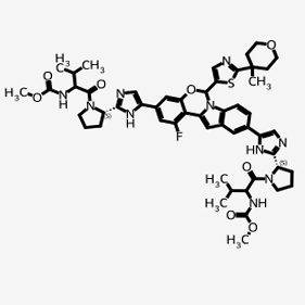 COC(=O)NC(C(=O)N1CCC[C@H]1c1ncc(-c2cc(F)c3c(c2)OC(c2cnc(C4(C)CCOCC4)s2)n2c-3cc3cc(-c4cnc([C@@H]5CCCN5C(=O)C(NC(=O)OC)C(C)C)[nH]4)ccc32)[nH]1)C(C)C